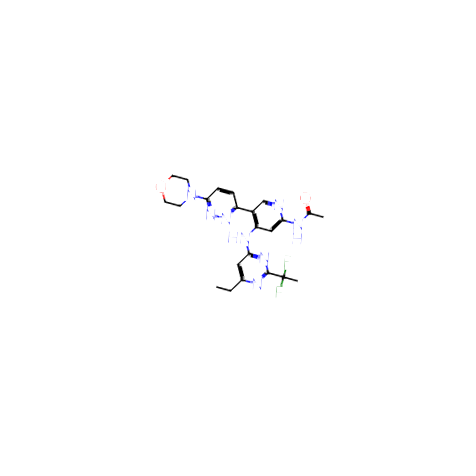 CCc1cc(Nc2cc(NC(C)=O)ncc2-c2ccc(N3CCOCC3)nn2)nc(C(C)(F)F)n1